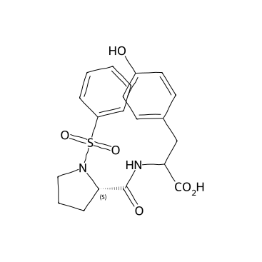 O=C(O)C(Cc1ccc(O)cc1)NC(=O)[C@@H]1CCCN1S(=O)(=O)c1ccccc1